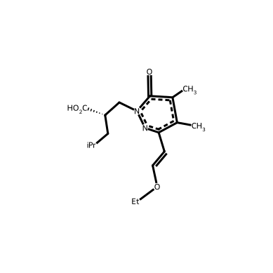 CCO/C=C/c1nn(C[C@H](CC(C)C)C(=O)O)c(=O)c(C)c1C